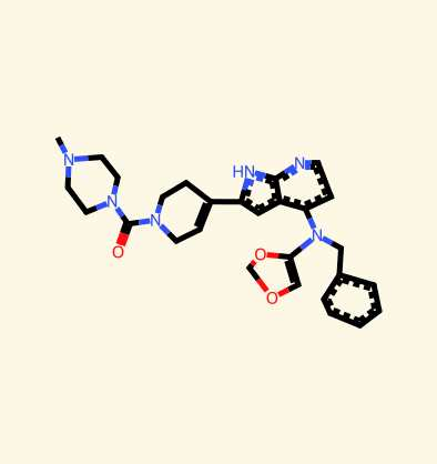 CN1CCN(C(=O)N2CC=C(c3cc4c(N(Cc5ccccc5)C5=COCO5)ccnc4[nH]3)CC2)CC1